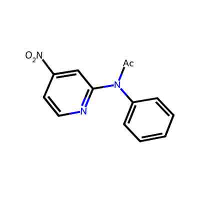 CC(=O)N(c1ccccc1)c1cc([N+](=O)[O-])ccn1